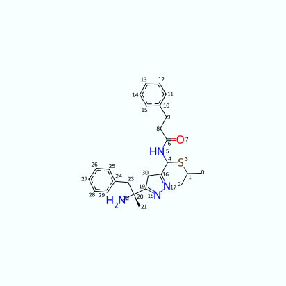 CC(C)SC(NC(=O)CCc1ccccc1)C1=NN=C([C@](C)(N)Cc2ccccc2)C1